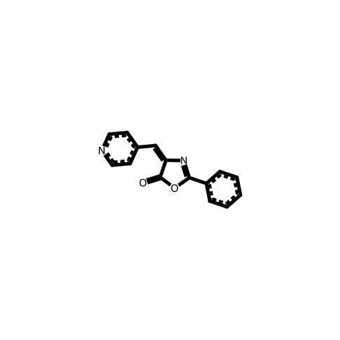 O=C1OC(c2ccccc2)=N/C1=C/c1ccncc1